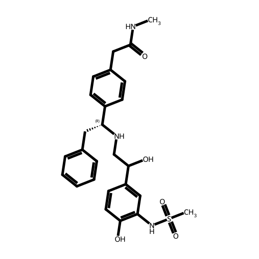 CNC(=O)Cc1ccc([C@@H](Cc2ccccc2)NCC(O)c2ccc(O)c(NS(C)(=O)=O)c2)cc1